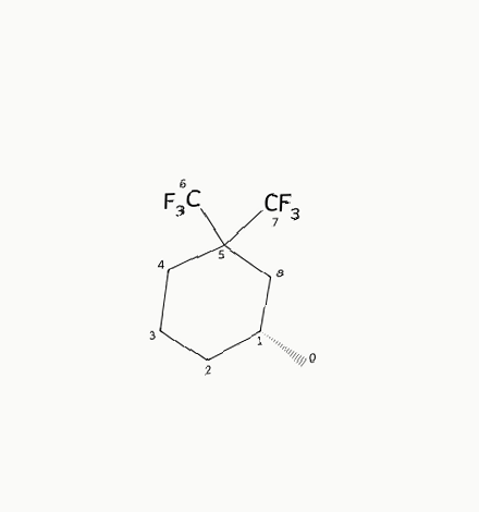 C[C@@H]1CCCC(C(F)(F)F)(C(F)(F)F)C1